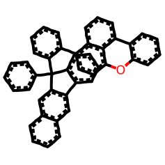 c1ccc(C2(c3ccccc3-c3ccc4c5c(cccc35)-c3ccccc3O4)c3ccccc3-c3cc4ccccc4cc32)cc1